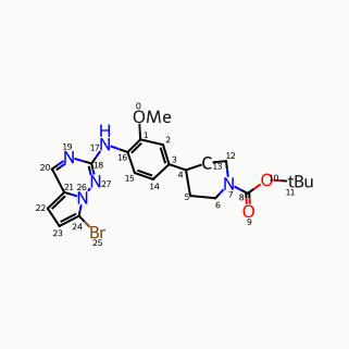 COc1cc(C2CCN(C(=O)OC(C)(C)C)CC2)ccc1Nc1ncc2ccc(Br)n2n1